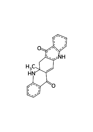 CC12Cc3c([nH]c4ccccc4c3=O)C=C1C(=O)c1ccccc1N2